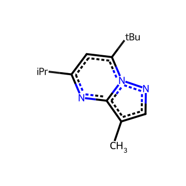 Cc1cnn2c(C(C)(C)C)cc(C(C)C)nc12